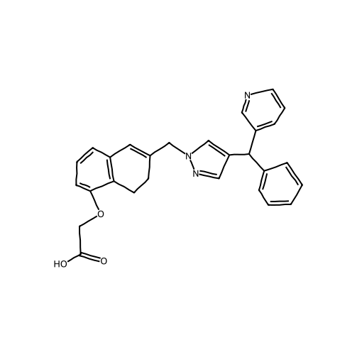 O=C(O)COc1cccc2c1CCC(Cn1cc(C(c3ccccc3)c3cccnc3)cn1)=C2